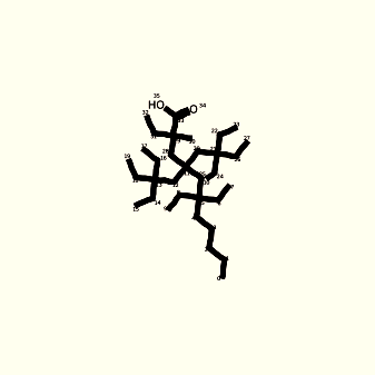 CCCCCC(CC)(CC)CC(CC(CC)(CC)CC)(CC(CC)(CC)CC)CC(C)(CC)C(=O)O